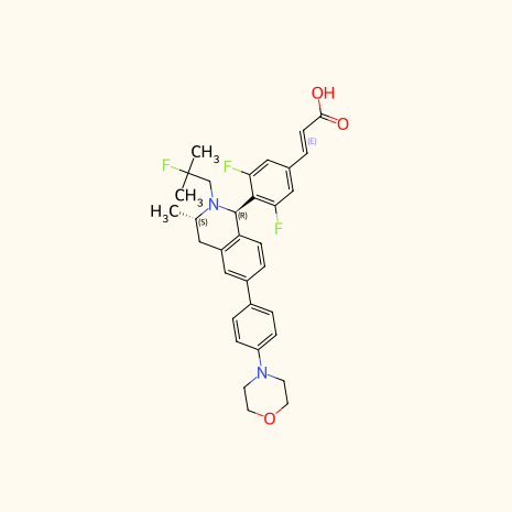 C[C@H]1Cc2cc(-c3ccc(N4CCOCC4)cc3)ccc2[C@H](c2c(F)cc(/C=C/C(=O)O)cc2F)N1CC(C)(C)F